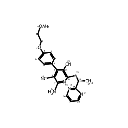 COCCOc1ccc(-c2c(C#N)c(N)nc(S[C@@H](C)c3ncccn3)c2C#N)cc1